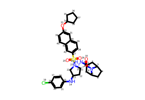 NC1CC2CCC(C1)N2C(=O)[C@@H]1CC(Nc2ccc(Cl)cc2)CN1S(=O)(=O)c1ccc2cc(OC3CCCC3)ccc2c1